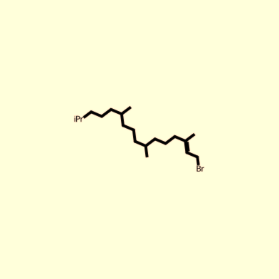 CC(=CCBr)CCCC(C)CCCC(C)CCCC(C)C